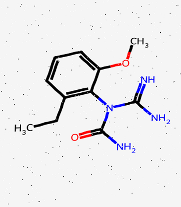 CCc1cccc(OC)c1N(C(=N)N)C(N)=O